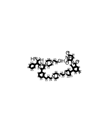 CC(=N)/C(=C1/N=C(c2cccc(CCCN3CCN(CCN4CCC(c5cc(F)cc6c5CN(C5CCC(=O)NC5=O)C6=O)CC4)CC3)c2)C=C(N2CCN(CCO)CC2)N1)c1ccccc1